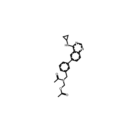 CC(=O)OCN(Cc1cccc(-c2ccc3ncnc(NC4CC4)c3c2)c1)C(C)=O